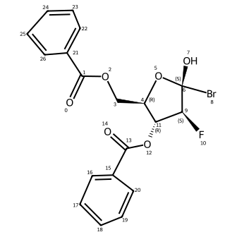 O=C(OC[C@H]1O[C@](O)(Br)[C@@H](F)[C@@H]1OC(=O)c1ccccc1)c1ccccc1